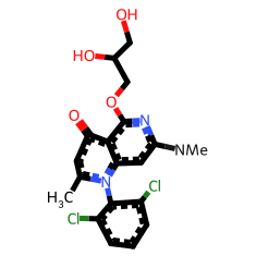 CNc1cc2c(c(OCC(O)CO)n1)c(=O)cc(C)n2-c1c(Cl)cccc1Cl